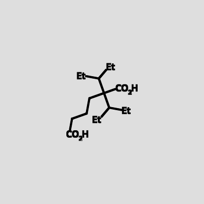 CCC(CC)C(CCCC(=O)O)(C(=O)O)C(CC)CC